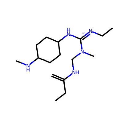 C=C(CC)NCN(C)/C(=N\CC)NC1CCC(NC)CC1